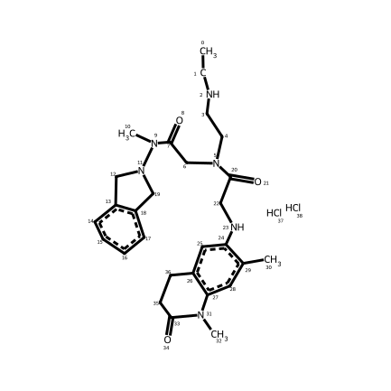 CCNCCN(CC(=O)N(C)N1Cc2ccccc2C1)C(=O)CNc1cc2c(cc1C)N(C)C(=O)CC2.Cl.Cl